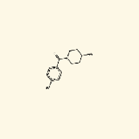 CC(C)c1ccc(C(=O)N2CCC(C(C)C)CC2)cc1